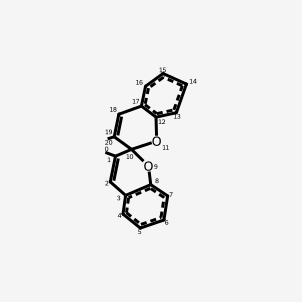 CC1=Cc2ccccc2OC12Oc1ccccc1C=C2C